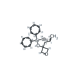 C=CCC1(O[Si](c2ccccc2)(c2ccccc2)C(C)(C)C)COC1